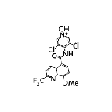 COC1=CC=C(C(=O)Nc2c(Cl)c[n+](O)cc2Cl)C2C=CC(C(F)(F)F)=NC12